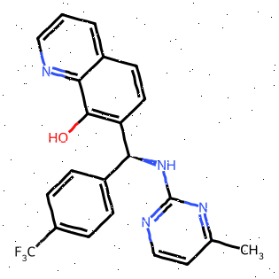 Cc1ccnc(N[C@@H](c2ccc(C(F)(F)F)cc2)c2ccc3cccnc3c2O)n1